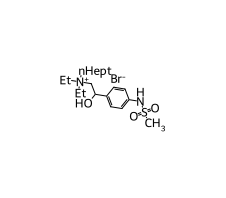 CCCCCCC[N+](CC)(CC)CC(O)c1ccc(NS(C)(=O)=O)cc1.[Br-]